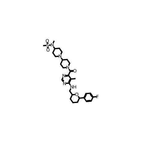 Cc1c(NCC2CCCC(c3ccc(F)cc3)O2)ncnc1C(=O)N1CCC(N2CCC(N(C)S(C)(=O)=O)CC2)CC1